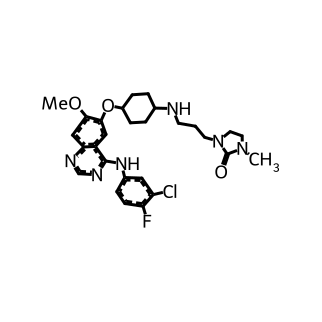 COc1cc2ncnc(Nc3ccc(F)c(Cl)c3)c2cc1OC1CCC(NCCCN2CCN(C)C2=O)CC1